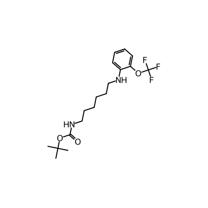 CC(C)(C)OC(=O)NCCCCCCNc1ccccc1OC(F)(F)F